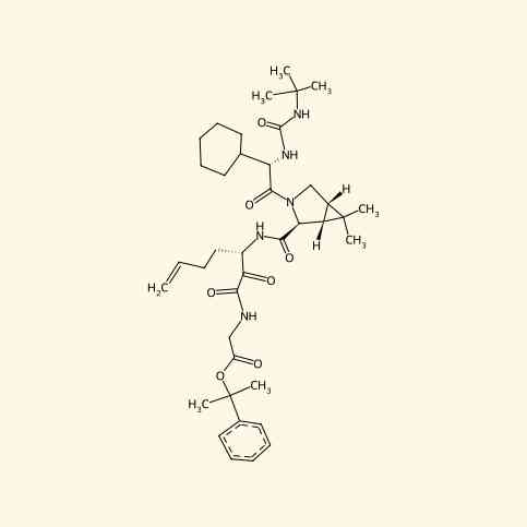 C=CCC[C@H](NC(=O)[C@@H]1[C@@H]2[C@H](CN1C(=O)[C@@H](NC(=O)NC(C)(C)C)C1CCCCC1)C2(C)C)C(=O)C(=O)NCC(=O)OC(C)(C)c1ccccc1